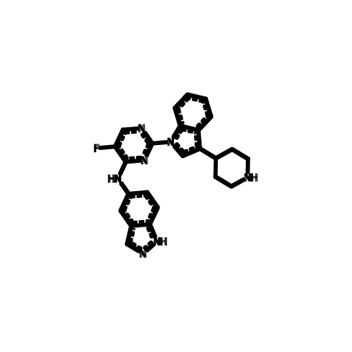 Fc1cnc(-n2cc(C3CCNCC3)c3ccccc32)nc1Nc1ccc2[nH]ncc2c1